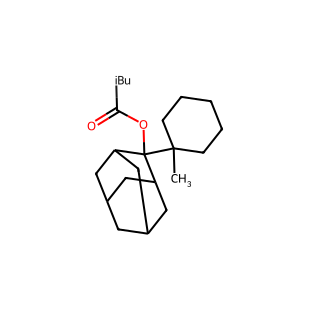 CCC(C)C(=O)OC1(C2(C)CCCCC2)C2CC3CC(C2)CC1C3